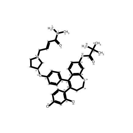 CN(C)C(=O)C=CCN1CC[C@H](Oc2ccc(C3=C(c4ccc(Cl)cc4Cl)CCSc4cc(OC(=O)C(C)(C)C)ccc43)cc2)C1